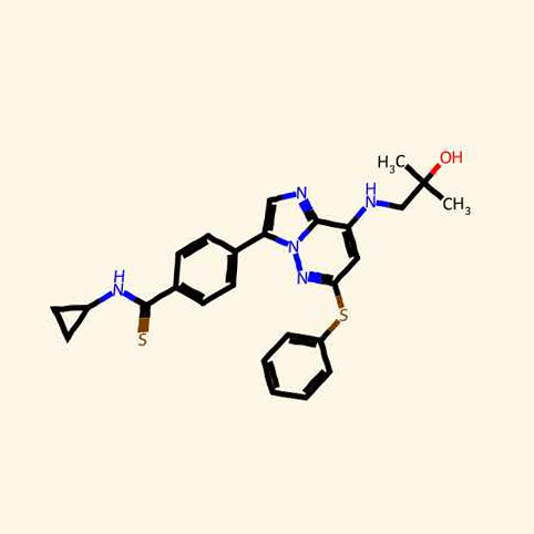 CC(C)(O)CNc1cc(Sc2ccccc2)nn2c(-c3ccc(C(=S)NC4CC4)cc3)cnc12